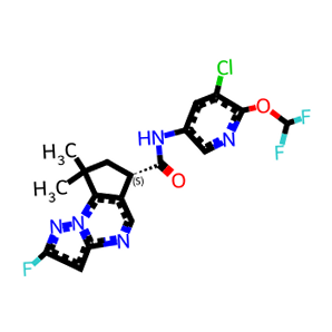 CC1(C)C[C@H](C(=O)Nc2cnc(OC(F)F)c(Cl)c2)c2cnc3cc(F)nn3c21